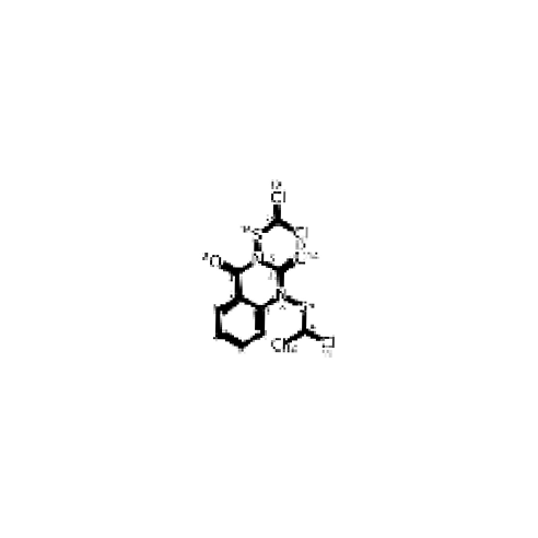 O=c1c2ccccc2n(SC(Cl)Cl)c(=O)n1SC(Cl)Cl